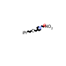 CC(C)CCCCCCC1CCN(CCO[N+](=O)[O-])CC1